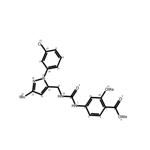 COC(=O)c1ccc(NC(=O)NCc2cc(C(C)(C)C)nn2-c2cccc(Cl)c2)cc1OC